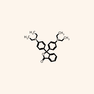 CCN(CC)c1ccc(C2(c3ccc(N(CC)CC)cc3)OC(=O)c3ccccc32)cc1